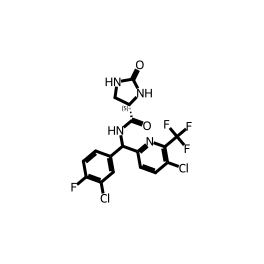 O=C1NC[C@@H](C(=O)NC(c2ccc(F)c(Cl)c2)c2ccc(Cl)c(C(F)(F)F)n2)N1